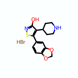 Br.Oc1nsc(-c2ccc3c(c2)OCO3)c1C1CCNCC1